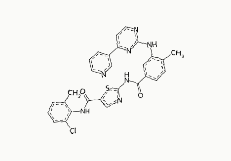 Cc1ccc(C(=O)Nc2ncc(C(=O)Nc3c(C)cccc3Cl)s2)cc1Nc1nccc(-c2cccnc2)n1